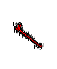 CC[C@]1(O)C(=O)OCc2c1cc1n(c2=O)Cc2c-1nc1cc(F)c(C)c3c1c2[C@H](CNC(=O)[C@@H](O)CNC(=O)CNC(=O)CNC(=O)CNC(=O)CNC(=O)CNC(=O)CCOCCOCCOCCOCCNC(=O)CCN1C(=O)C=CC1O)CC3